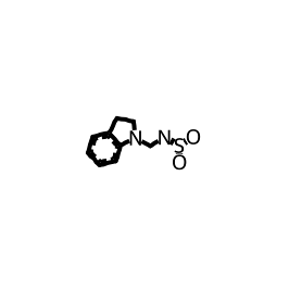 O=S(=O)=NCN1CCc2ccccc21